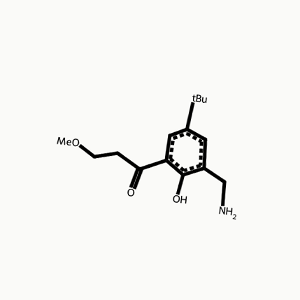 COCCC(=O)c1cc(C(C)(C)C)cc(CN)c1O